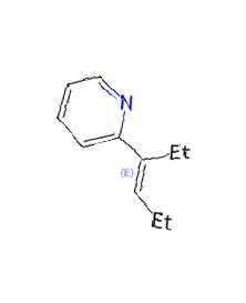 CC/C=C(\CC)c1ccccn1